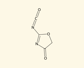 O=C=NC1=NC(=O)CO1